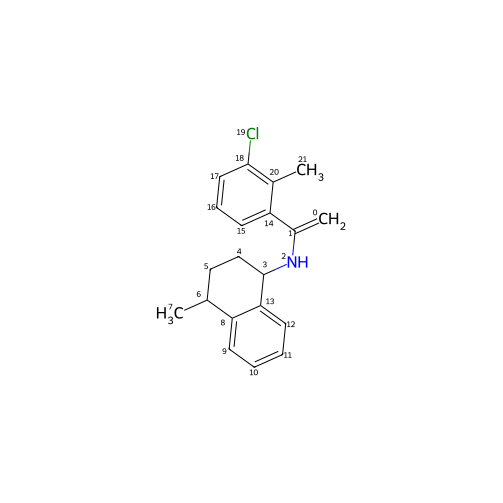 C=C(NC1CCC(C)c2ccccc21)c1cccc(Cl)c1C